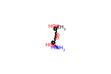 COc1cc(/C=C/C(=O)CC(=O)/C=C/c2ccc(O)c(OCNN)c2)ccc1O